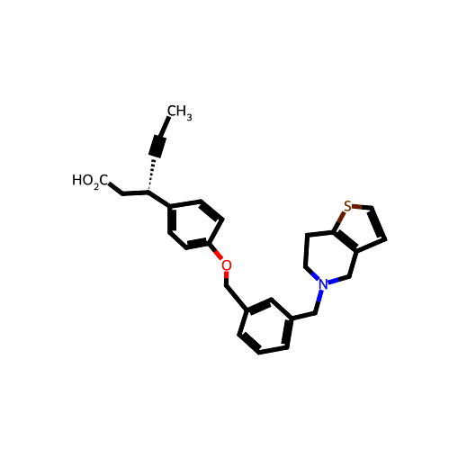 CC#C[C@@H](CC(=O)O)c1ccc(OCc2cccc(CN3CCc4sccc4C3)c2)cc1